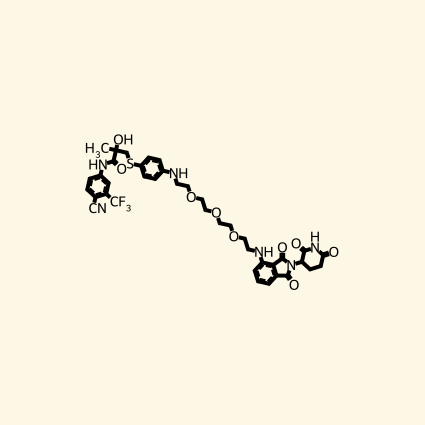 CC(O)(CSc1ccc(NCCOCCOCCOCCNc2cccc3c2C(=O)N(C2CCC(=O)NC2=O)C3=O)cc1)C(=O)Nc1ccc(C#N)c(C(F)(F)F)c1